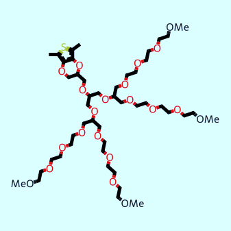 COCCOCCOCCOCC(COCCOCCOCCOC)OCC(COC(COCCOCCOCCOC)COCCOCCOCCOC)OCC1COc2c(C)sc(C)c2O1